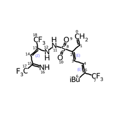 C=C/C(=C\C=C(/C(C)CC)C(F)(F)F)S(=O)(=O)NN/C(=C\C(=N)C(F)(F)F)C(F)(F)F